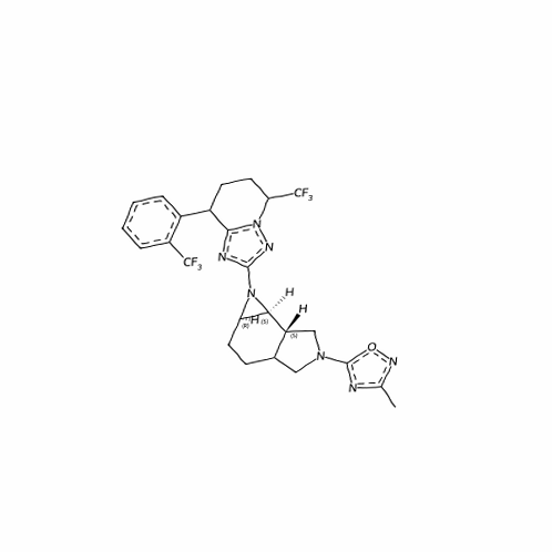 Cc1noc(N2CC3CC[C@@H]4[C@H]([C@@H]3C2)N4c2nc3n(n2)C(C(F)(F)F)CCC3c2ccccc2C(F)(F)F)n1